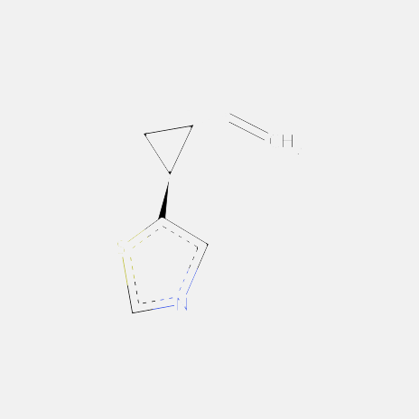 C=C[C@H]1C[C@@H]1c1cncs1